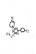 Clc1ccc(-c2nc(N3CCCNCC3)nc(C(Cl)(Cl)Cl)n2)cc1